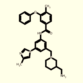 Cc1cn(-c2cc(CN3CCCC(CN)C3)cc(NC(=O)c3ccc(C)c(Oc4ccccc4)c3)c2)cn1